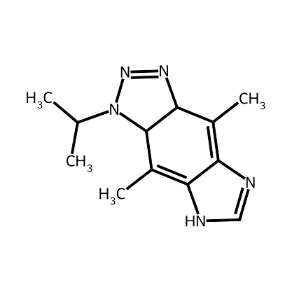 CC1=c2nc[nH]c2=C(C)C2C1N=NN2C(C)C